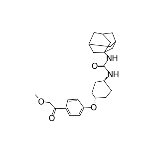 COCC(=O)c1ccc(O[C@H]2CC[C@H](NC(=O)NC34CC5CC(CC(C5)C3)C4)CC2)cc1